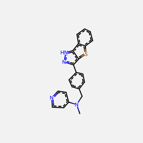 CN(Cc1ccc(-c2n[nH]c3c2sc2ccccc23)cc1)c1ccncc1